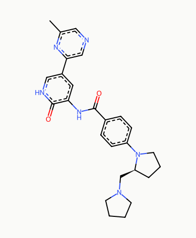 Cc1cncc(-c2c[nH]c(=O)c(NC(=O)c3ccc(N4CCC[C@H]4CN4CCCC4)cc3)c2)n1